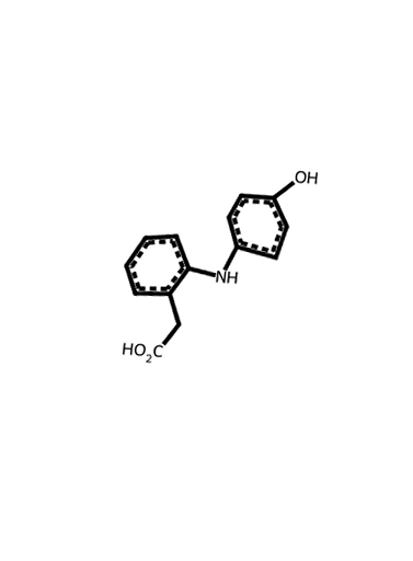 O=C(O)Cc1ccccc1Nc1ccc(O)cc1